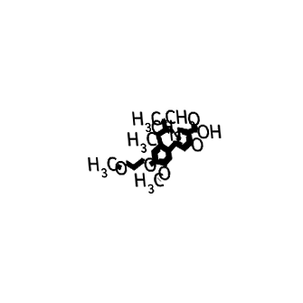 COCCCOc1cc2c(cc1OC)-c1cc(=O)c(C(=O)O)cn1C(C(C)C)C2(C)C